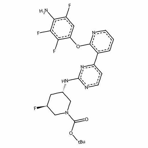 CC(C)(C)OC(=O)N1C[C@@H](F)C[C@H](Nc2nccc(-c3cccnc3Oc3cc(F)c(N)c(F)c3F)n2)C1